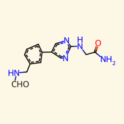 NC(=O)CNc1ncc(-c2cccc(CNC=O)c2)cn1